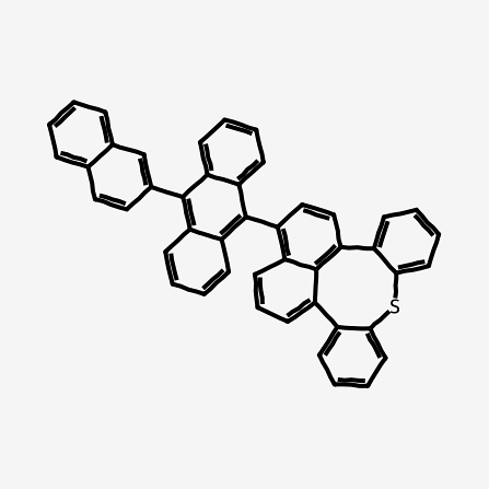 c1ccc2c(c1)Sc1ccccc1-c1ccc(-c3c4ccccc4c(-c4ccc5ccccc5c4)c4ccccc34)c3cccc-2c13